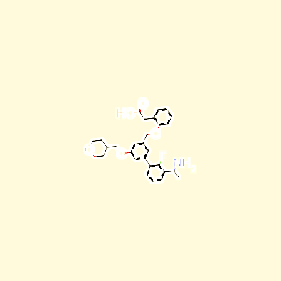 CC(N)c1cccc(-c2cc(COc3ccccc3CC(=O)O)cc(OCC3CCOCC3)c2)c1F